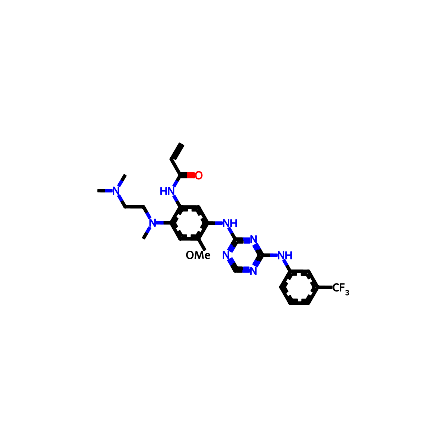 C=CC(=O)Nc1cc(Nc2ncnc(Nc3cccc(C(F)(F)F)c3)n2)c(OC)cc1N(C)CCN(C)C